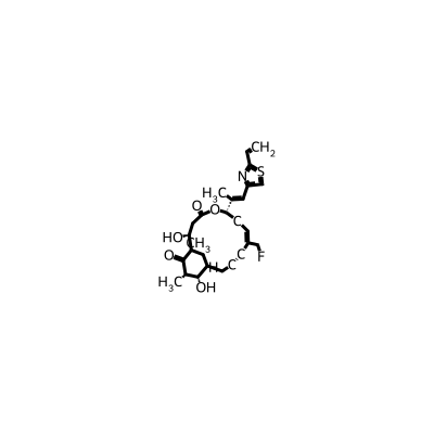 C=Cc1nc(/C=C(\C)[C@@H]2C/C=C(/CF)CCC[C@@H]3C[C@@](C)(C(=O)[C@H](C)[C@H]3O)[C@@H](O)CC(=O)O2)cs1